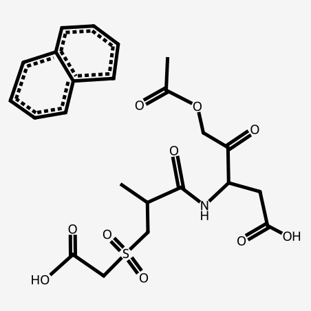 CC(=O)OCC(=O)C(CC(=O)O)NC(=O)C(C)CS(=O)(=O)CC(=O)O.c1ccc2ccccc2c1